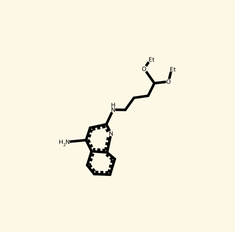 CCOC(CCCNc1cc(N)c2ccccc2n1)OCC